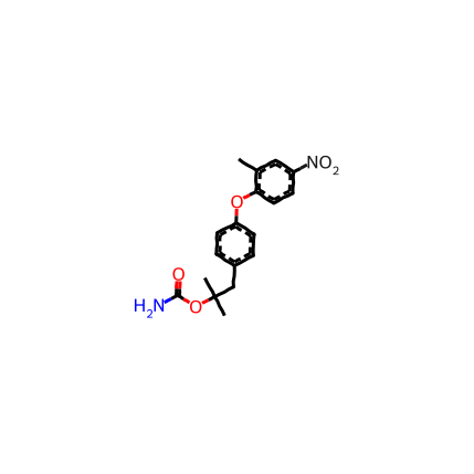 Cc1cc([N+](=O)[O-])ccc1Oc1ccc(CC(C)(C)OC(N)=O)cc1